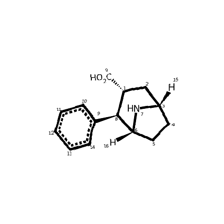 O=C(O)[C@@H]1C[C@@H]2CC[C@@H](N2)[C@H]1c1ccccc1